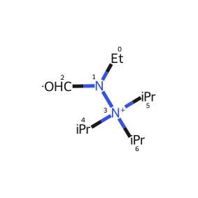 CCN([C]=O)[N+](C(C)C)(C(C)C)C(C)C